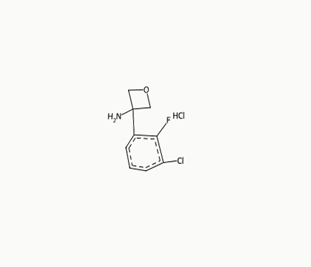 Cl.NC1(c2cccc(Cl)c2F)COC1